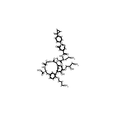 C[C@@H]1NC(=O)[C@@H](N(C)C(=O)[C@H](CCN)NC(=O)c2cnn(-c3ccc(C4(C)CC4)cc3)c(=O)c2)c2cc(OC[C@H](O)CN)c(O)c(c2)-c2cc(ccc2OCCCN)C[C@@H](C(=O)O)NC1=O